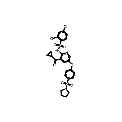 O=C(c1cc(Sc2ccc(S(=O)(=O)N3CCCC3)cc2)cnc1NS(=O)(=O)c1ccc(Cl)cc1Cl)C1CC1